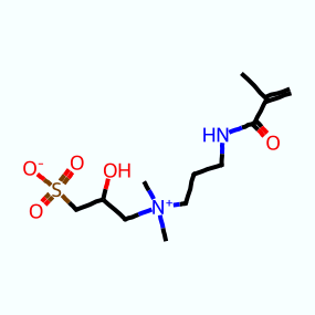 C=C(C)C(=O)NCCC[N+](C)(C)CC(O)CS(=O)(=O)[O-]